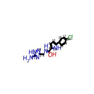 Nc1nc(CNC(O)c2ccc(-c3ccc(Cl)cc3)[nH]2)n[nH]1